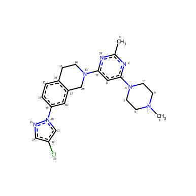 Cc1nc(N2CCN(C)CC2)cc(N2CCc3ccc(-n4cc(Cl)cn4)cc3C2)n1